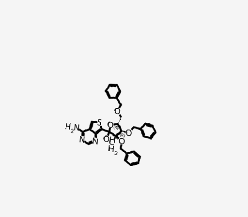 C[C@@]1(OCc2ccccc2)[C@H](OCc2ccccc2)[C@@H](COCc2ccccc2)OC1(O)c1scc2c(N)ncnc12